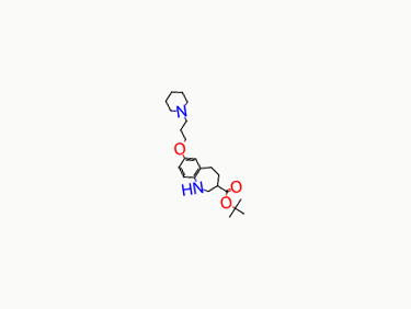 CC(C)(C)OC(=O)C1CCc2cc(OCCCN3CCCCC3)ccc2NC1